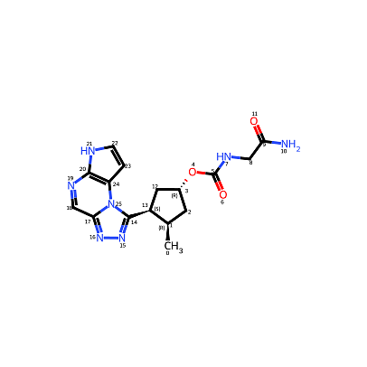 C[C@@H]1C[C@@H](OC(=O)NCC(N)=O)C[C@@H]1c1nnc2cnc3[nH]ccc3n12